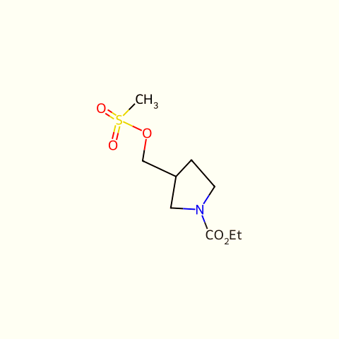 CCOC(=O)N1CCC(COS(C)(=O)=O)C1